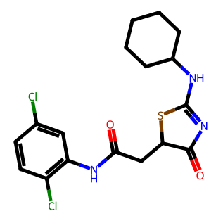 O=C(CC1SC(NC2CCCCC2)=NC1=O)Nc1cc(Cl)ccc1Cl